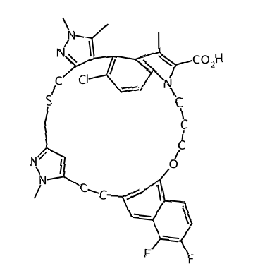 Cc1c(C(=O)O)n2c3ccc(Cl)c(c13)-c1c(nn(C)c1C)CSCc1cc(n(C)n1)CCc1cc(c3ccc(F)c(F)c3c1)OCCC2